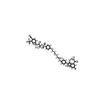 C[C@](O)(CS(=O)(=O)c1ccc(OCCOCCNCc2ccc(-c3[nH]c4cc(F)cc5c4c3CCNC5=O)cc2)cc1)C(=O)Nc1ccc(C#N)c(C(F)(F)F)c1